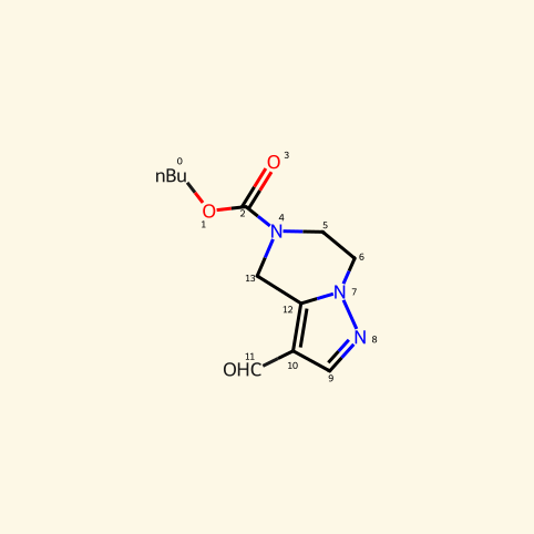 CCCCOC(=O)N1CCn2ncc(C=O)c2C1